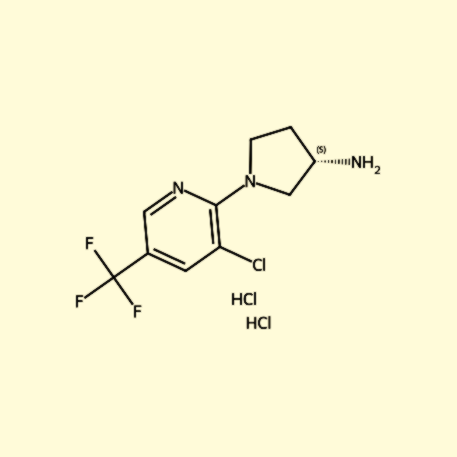 Cl.Cl.N[C@H]1CCN(c2ncc(C(F)(F)F)cc2Cl)C1